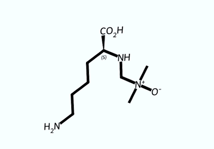 C[N+](C)([O-])CN[C@@H](CCCCN)C(=O)O